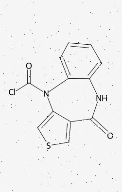 O=C1Nc2ccccc2N(C(=O)Cl)c2cscc21